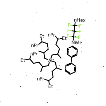 CCCC(CC)CCC(C)[CH2][Al-]([CH2]C(C)CCC(CC)CCC)([CH2]C(C)CCC(CC)CCC)[CH2]C(C)CCC(CC)CCC.CCCCCCC(F)(F)C(F)(F)C(F)(F)[NH2+]C.c1ccc(-c2ccccc2)cc1